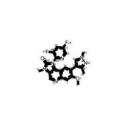 COc1cc2ncc3c(c2cc1-c1cn(C)nc1C)n(-c1ncc(F)cc1F)c(=O)n3C